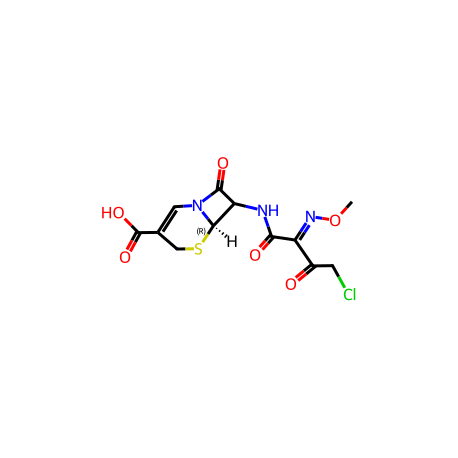 CON=C(C(=O)CCl)C(=O)NC1C(=O)N2C=C(C(=O)O)CS[C@H]12